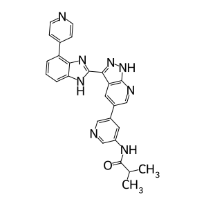 CC(C)C(=O)Nc1cncc(-c2cnc3[nH]nc(-c4nc5c(-c6ccncc6)cccc5[nH]4)c3c2)c1